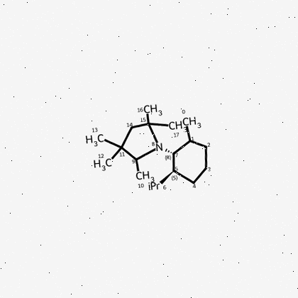 CC1CCC[C@@H](C(C)C)[C@@H]1N1C(C)C(C)(C)CC1(C)C